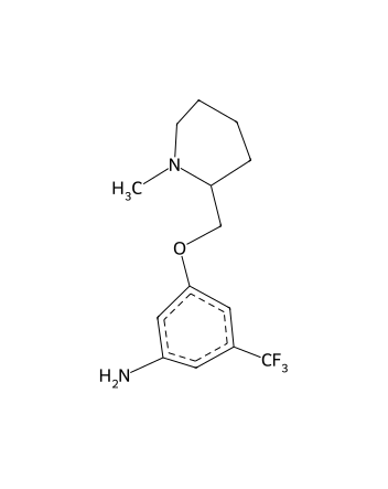 CN1CCCCC1COc1cc(N)cc(C(F)(F)F)c1